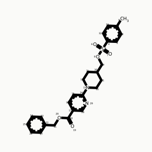 Cc1ccc(S(=O)(=O)OCC2CCN(c3ccc(C(=O)OCc4ccccc4)cn3)CC2)cc1